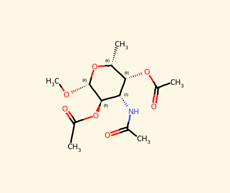 CO[C@@H]1O[C@H](C)[C@H](OC(C)=O)[C@H](NC(C)=O)[C@H]1OC(C)=O